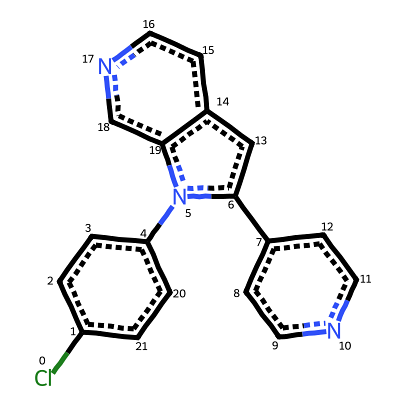 Clc1ccc(-n2c(-c3ccncc3)cc3ccncc32)cc1